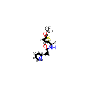 C[C@@H](NC(=O)[C@H]1C[C@@H]1c1ccccn1)c1ccc(OCC(F)(F)F)s1